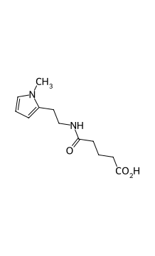 Cn1cccc1CCNC(=O)CCCC(=O)O